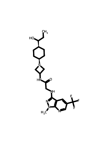 CCC(O)[C@H]1CC[C@@H](N2CC(NC(=O)CNc3nn(C)c4ncc(C(F)(F)F)cc34)C2)CC1